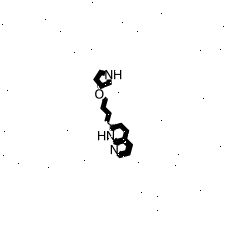 c1cnc2c(c1)CC[C@@H](CCCCO[C@@H]1CCNC1)N2